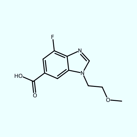 COCCn1cnc2c(F)cc(C(=O)O)cc21